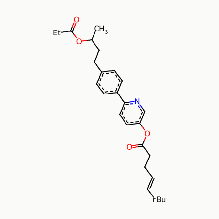 CCCCC=CCCC(=O)Oc1ccc(-c2ccc(CCC(C)OC(=O)CC)cc2)nc1